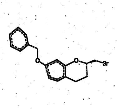 BrC[C@H]1CCc2ccc(OCc3ccccc3)cc2O1